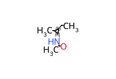 CC[C@@H]1C(C)[C@H]1CNC(C)=O